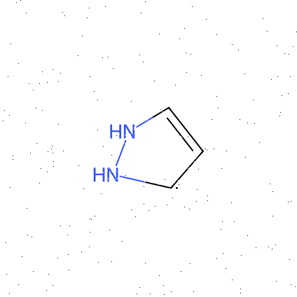 [CH]1C=CNN1